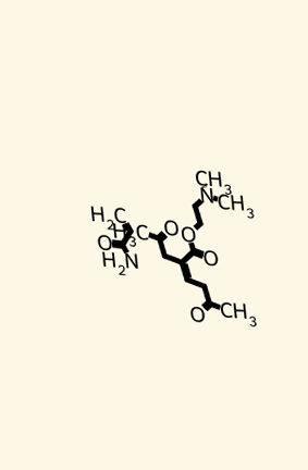 C=CC(N)=O.CC(=O)CC=C(CC(C)=O)C(=O)OCCN(C)C